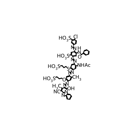 CC(=O)Nc1cc(N=Nc2cc(OCCCS(=O)(=O)O)c(N=Nc3c(C)c(C#N)c4nc5ccccc5n4c3O)cc2C)c(SCCCS(=O)(=O)O)cc1N=Nc1cc(NC(=O)c2ccccc2)c(N=Nc2ccc(Cl)c(S(=O)(=O)O)c2)cc1S(=O)(=O)O